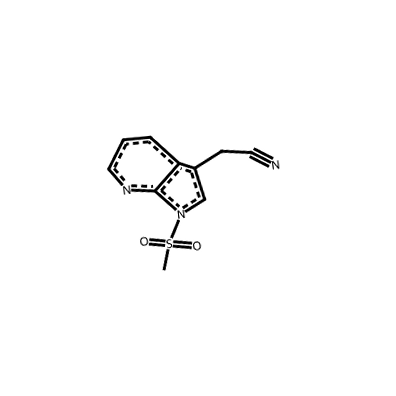 CS(=O)(=O)n1cc(CC#N)c2cccnc21